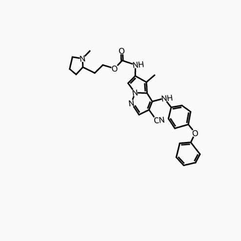 Cc1c(NC(=O)OCCC2CCCN2C)cn2ncc(C#N)c(Nc3ccc(Oc4ccccc4)cc3)c12